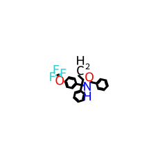 C=CCC(NC(=O)c1ccccc1)(c1ccccc1)c1ccc(OC(F)(F)F)cc1